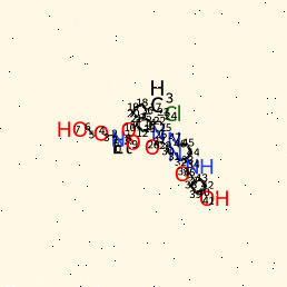 CCN(CCOCCO)C(=O)Oc1cc2c(c3c(C)cccc13)[C@H](CCl)CN2C(=O)c1cn2cc(NC(=O)c3ccc(O)cc3)ccc2n1